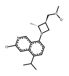 CC(C)c1ccc(N2C[C@H](C[S+](C)[O-])[C@H]2C)c2cnc(Cl)cc12